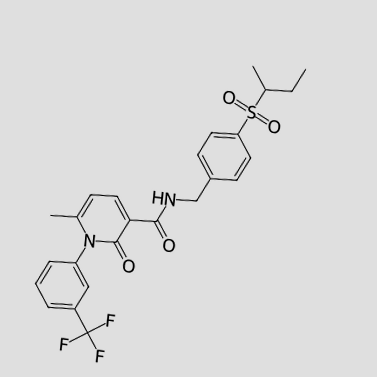 CCC(C)S(=O)(=O)c1ccc(CNC(=O)c2ccc(C)n(-c3cccc(C(F)(F)F)c3)c2=O)cc1